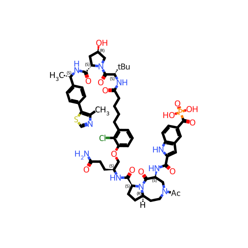 CC(=O)N1CC[C@H]2CC[C@@H](C(=O)N[C@@H](CCC(N)=O)COc3cccc(CCCCC(=O)N[C@H](C(=O)N4C[C@H](O)C[C@H]4C(=O)N[C@@H](C)c4ccc(-c5scnc5C)cc4)C(C)(C)C)c3Cl)N2C(=O)[C@@H](NC(=O)c2cc3cc(C(=O)P(=O)(O)O)ccc3[nH]2)C1